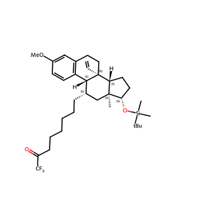 C=C[C@@]12CCc3cc(OC)ccc3[C@H]1[C@@H](CCCCCCC(=O)C(F)(F)F)C[C@]1(C)[C@@H](O[Si](C)(C)C(C)(C)C)CC[C@H]12